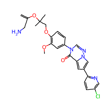 C=C(CN)OC(C)(C)COc1ccc(-n2cnn3cc(-c4ccc(Cl)cn4)cc3c2=O)cc1OC